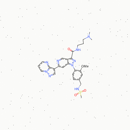 COc1cc(CNS(C)(=O)=O)ccc1-n1nc(C(=O)NCCCN(C)C)c2cnc(-c3cnn4cccnc34)cc21